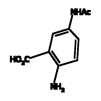 CC(=O)Nc1ccc(N)c(C(=O)O)c1